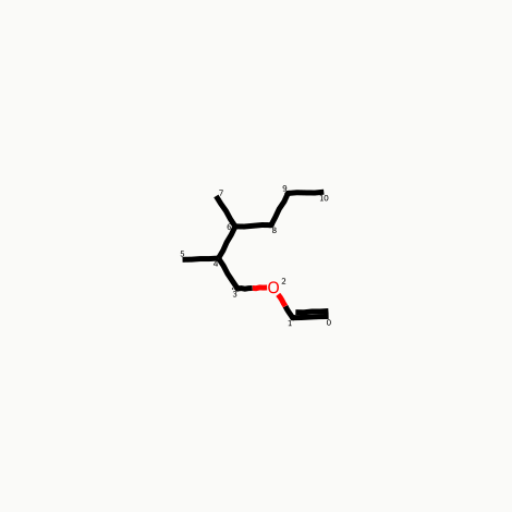 C=CO[CH]C(C)C(C)CCC